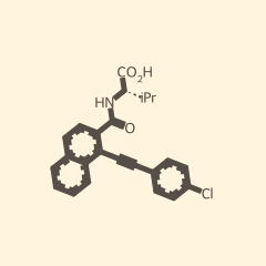 CC(C)[C@H](NC(=O)c1ccc2ccccc2c1C#Cc1ccc(Cl)cc1)C(=O)O